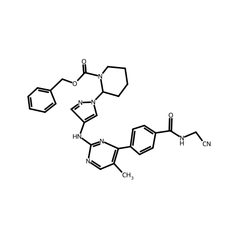 Cc1cnc(Nc2cnn(C3CCCCN3C(=O)OCc3ccccc3)c2)nc1-c1ccc(C(=O)NCC#N)cc1